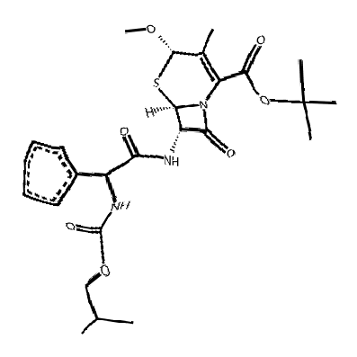 CO[C@H]1S[C@@H]2[C@@H](NC(=O)C(NC(=O)OCC(C)C)c3ccccc3)C(=O)N2C(C(=O)OC(C)(C)C)=C1C